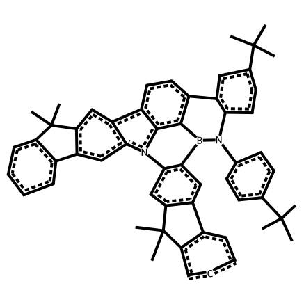 CC(C)(C)c1ccc(N2B3c4cc5c(cc4-n4c6cc7c(cc6c6ccc(c3c64)-c3cc(C(C)(C)C)ccc32)C(C)(C)c2ccccc2-7)C(C)(C)c2ccccc2-5)cc1